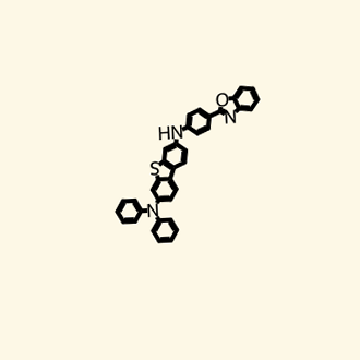 c1ccc(N(c2ccccc2)c2ccc3c(c2)sc2cc(Nc4ccc(-c5nc6ccccc6o5)cc4)ccc23)cc1